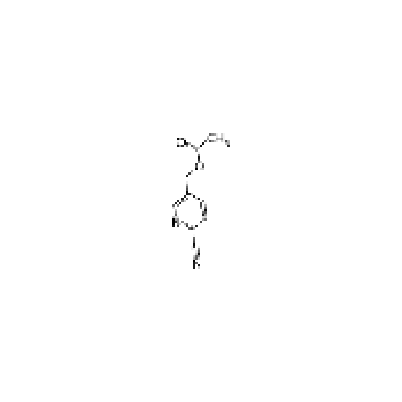 CC(=O)OCc1ccc(C#N)nc1